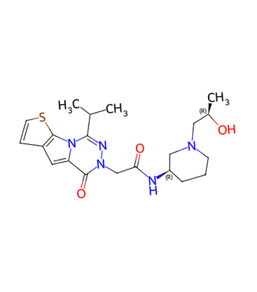 CC(C)c1nn(CC(=O)N[C@@H]2CCCN(C[C@@H](C)O)C2)c(=O)c2cc3ccsc3n12